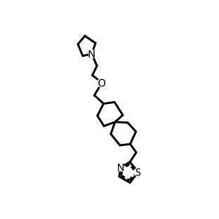 c1csc(CC2CCC3(CCC(COCCN4CCCC4)CC3)CC2)n1